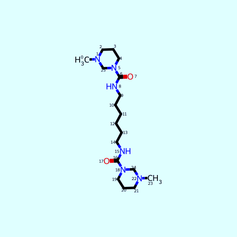 CN1CCCN(C(=O)NCCCCCCNC(=O)N2CCCN(C)C2)C1